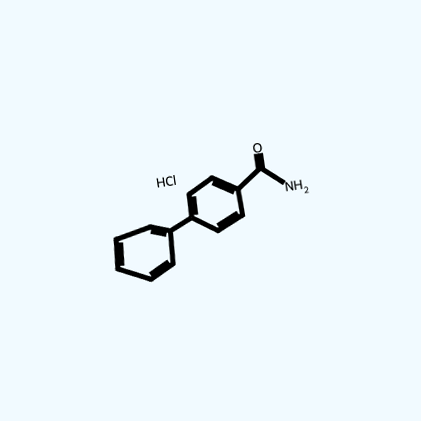 Cl.NC(=O)c1ccc(-c2ccccc2)cc1